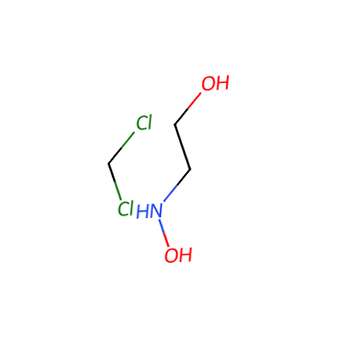 ClCCl.OCCNO